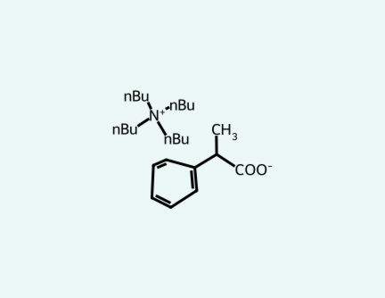 CC(C(=O)[O-])c1ccccc1.CCCC[N+](CCCC)(CCCC)CCCC